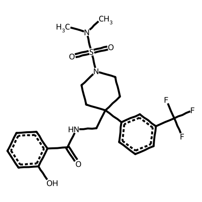 CN(C)S(=O)(=O)N1CCC(CNC(=O)c2ccccc2O)(c2cccc(C(F)(F)F)c2)CC1